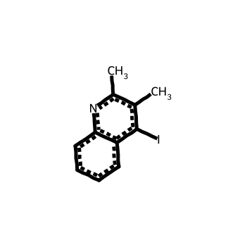 Cc1nc2ccccc2c(I)c1C